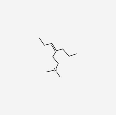 CC/C=C(/CCC)CCN(C)C